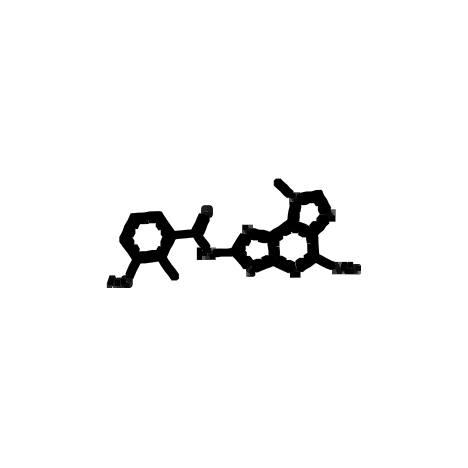 CNc1nc2sc(NC(=O)c3cccc(OC(C)=O)c3C)nc2c2c1ncn2C